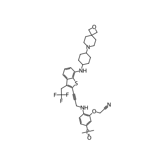 CP(C)(=O)c1ccc(NCC#Cc2sc3c(NC4CCC(N5CCC6(CC5)COC6)CC4)cccc3c2CC(F)(F)F)c(OCC#N)c1